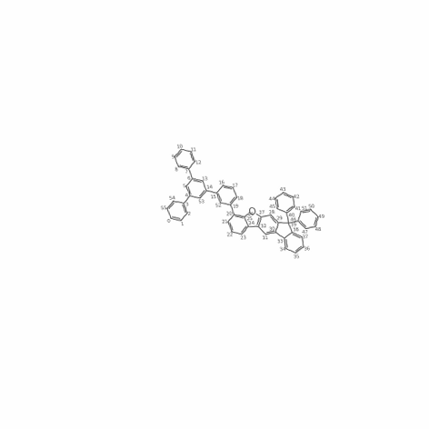 c1ccc(-c2cc(-c3ccccc3)cc(-c3cccc(-c4cccc5c4oc4cc6c(cc45)-c4ccccc4C6(c4ccccc4)c4ccccc4)c3)c2)cc1